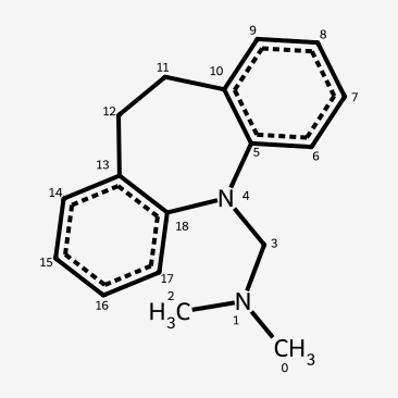 CN(C)CN1c2ccccc2CCc2ccccc21